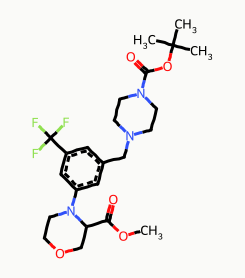 COC(=O)C1COCCN1c1cc(CN2CCN(C(=O)OC(C)(C)C)CC2)cc(C(F)(F)F)c1